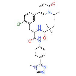 CC(C)n1cc(-c2ccc(Cl)c(CC(NC(=O)C(C)(C)C)C(=O)Nc3ccc(-c4nncn4C)cc3)c2)ccc1=O